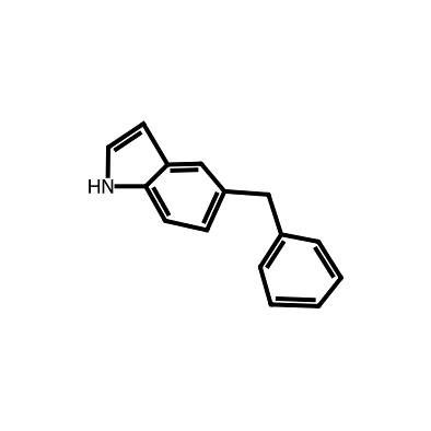 c1ccc(Cc2ccc3[nH]ccc3c2)cc1